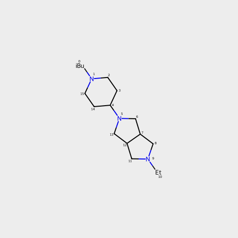 CCC(C)N1CCC(N2CC3CN(CC)CC3C2)CC1